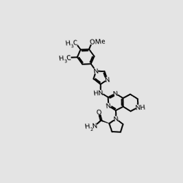 COc1cc(-n2cnc(Nc3nc4c(c(N5CCC[C@H]5C(N)=O)n3)CNCC4)c2)cc(C)c1C